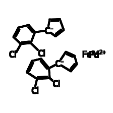 Clc1cccc(-[c-]2cccc2)c1Cl.Clc1cccc(-[c-]2cccc2)c1Cl.[Fe+2].[Pd+2]